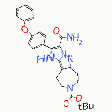 CC(C)(C)OC(=O)N1CCc2nn3c(C(N)=O)c(-c4ccc(Oc5ccccc5)cc4)[nH]c3c2CC1